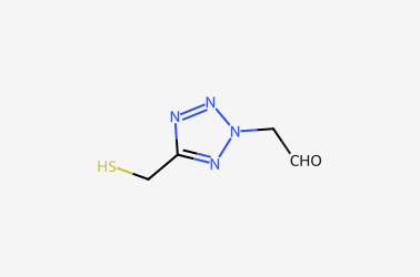 O=CCn1nnc(CS)n1